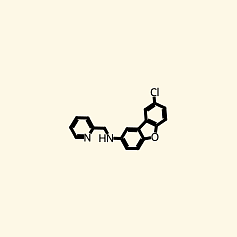 Clc1ccc2oc3ccc(NCc4ccccn4)cc3c2c1